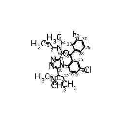 C=CCN(CC)Cc1nnc(C(CC)N(C)C)n1-c1ccc(Cl)cc1C(=O)c1cccc(F)c1